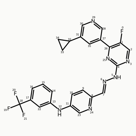 Fc1cnc(N/N=C/c2ccc(Nc3cccc(C(F)(F)F)c3)cn2)nc1-c1cncc(C2CC2)c1